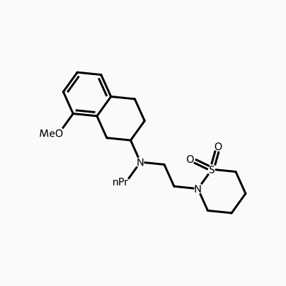 CCCN(CCN1CCCCS1(=O)=O)C1CCc2cccc(OC)c2C1